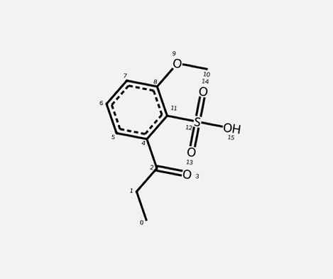 CCC(=O)c1cccc(OC)c1S(=O)(=O)O